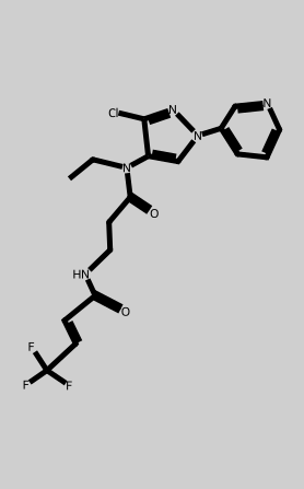 CCN(C(=O)CCNC(=O)C=CC(F)(F)F)c1cn(-c2cccnc2)nc1Cl